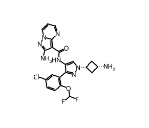 Nc1nn2cccnc2c1C(=O)Nc1cn([C@H]2C[C@@H](N)C2)nc1-c1cc(Cl)ccc1OC(F)F